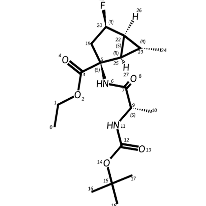 CCOC(=O)[C@]1(NC(=O)[C@H](C)NC(=O)OC(C)(C)C)C[C@@H](F)[C@H]2[C@H](C)[C@H]21